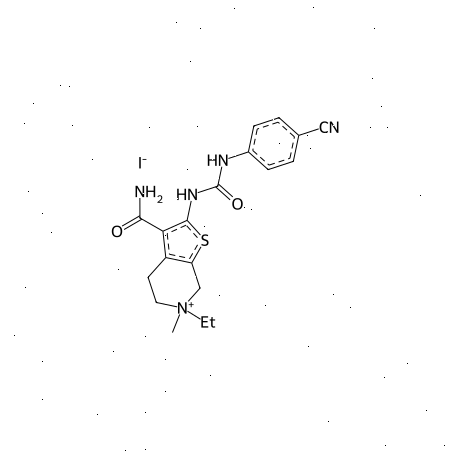 CC[N+]1(C)CCc2c(sc(NC(=O)Nc3ccc(C#N)cc3)c2C(N)=O)C1.[I-]